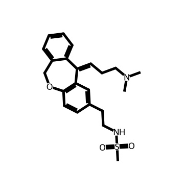 CN(C)CCC=C1c2ccccc2COc2ccc(CCNS(C)(=O)=O)cc21